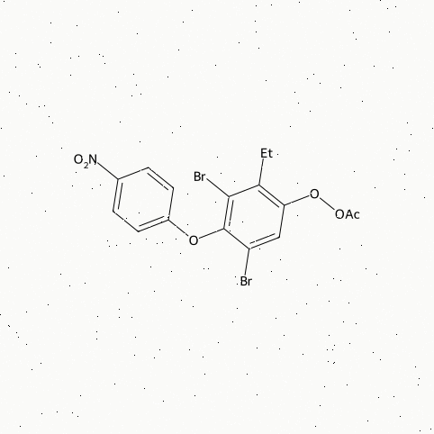 CCc1c(OOC(C)=O)cc(Br)c(Oc2ccc([N+](=O)[O-])cc2)c1Br